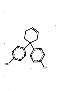 Oc1ccc(C2(c3ccc(O)cc3)CC=CCC2)cc1